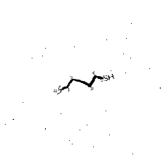 [S]CCCCS